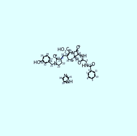 O=C(CNC(=O)c1ccccc1)N[C@@H]1C(=O)N2C(C(=O)O)=C(/C=C3\CCN(Cc4cccc(O)c4)C3=O)CS[C@H]12.c1c[nH]cn1